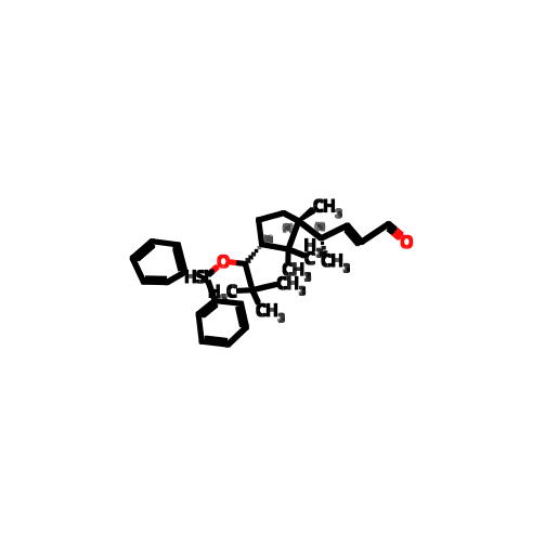 C[C@@H](C=CC=O)[C@@]1(C)CC[C@@H](C(O[SiH](c2ccccc2)c2ccccc2)C(C)(C)C)C1(C)C